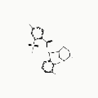 CS(=O)(=O)c1cc(C(F)(F)F)ccc1C(=O)NC(c1cccc(F)c1Cl)[C@]1(O)CC[C@H](F)CC1